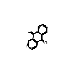 O=C1c2ccccc2C(=O)c2cnccc21